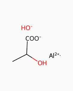 CC(O)C(=O)[O-].[Al+2].[OH-]